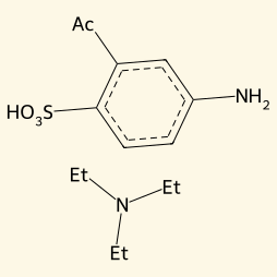 CC(=O)c1cc(N)ccc1S(=O)(=O)O.CCN(CC)CC